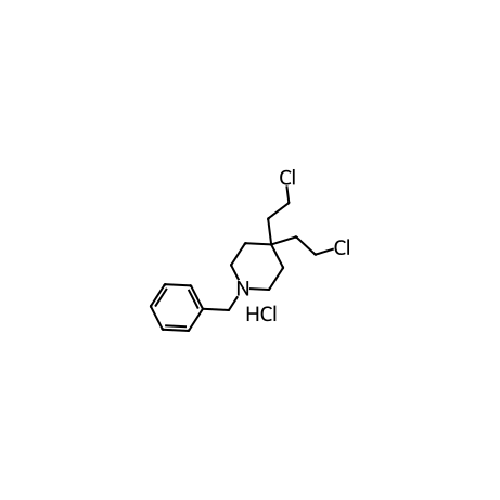 Cl.ClCCC1(CCCl)CCN(Cc2ccccc2)CC1